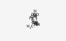 CCC(NS(=O)(=O)CCCCCN1CC(=O)NC1=O)c1ccc(OCC(C)(F)F)[nH]1